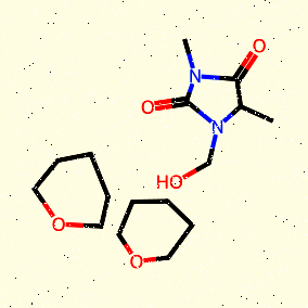 C1CCOCC1.C1CCOCC1.CC1C(=O)N(C)C(=O)N1CO